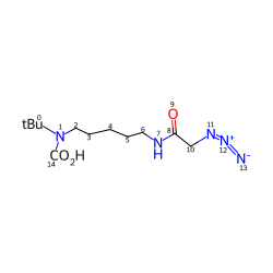 CC(C)(C)N(CCCCCNC(=O)CN=[N+]=[N-])C(=O)O